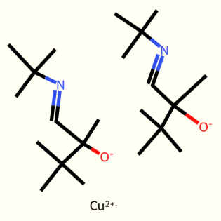 CC(C)(C)N=CC(C)([O-])C(C)(C)C.CC(C)(C)N=CC(C)([O-])C(C)(C)C.[Cu+2]